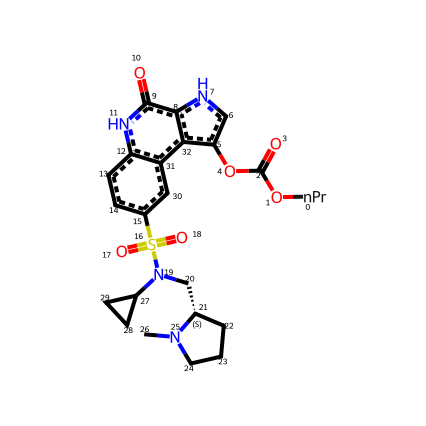 CCCOC(=O)Oc1c[nH]c2c(=O)[nH]c3ccc(S(=O)(=O)N(C[C@@H]4CCCN4C)C4CC4)cc3c12